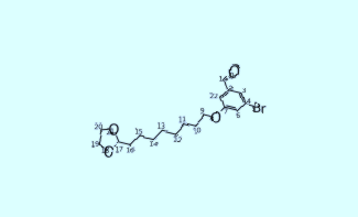 O=Cc1cc(Br)cc(OCCCCCCCCC2OCCO2)c1